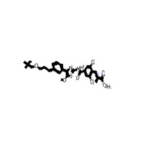 COc1sc(NC(=O)c2cc(Cl)c(/C=C(\C)C(=O)O)c(Cl)c2)nc1-c1cccc(CCCOCC(C)(C)C)c1